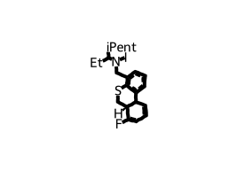 CCCC(C)C(CC)N(I)Cc1cccc2c1SC[C@H]1C(F)=CC=CC21